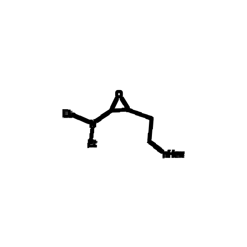 CCCCCCCCC1OC1N(CC)CC